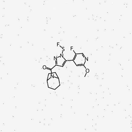 COc1cc(-c2cc(C(=O)N3C4CCCC3CC4)nn2SF)c(F)cn1